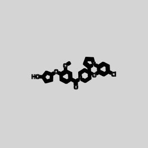 COc1cc(C(=O)N2CCC3(CC2)Oc2cc(Cl)ccc2-n2cccc23)ccc1OC1CCC(O)C1